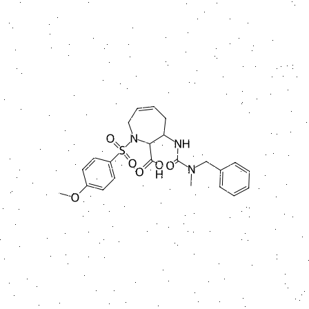 COc1ccc(S(=O)(=O)N2CC=CCC(NC(=O)N(C)Cc3ccccc3)C2C(=O)O)cc1